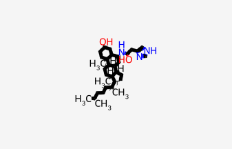 CC(C)CCC[C@@H](C)[C@H]1CC[C@H]2[C@@H]3C[C@@H](NC(O)Cc4c[nH]cn4)C4C[C@@H](O)CC[C@]4(C)[C@H]3CC[C@]12C